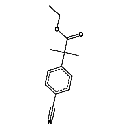 CCOC(=O)C(C)(C)c1ccc(C#N)cc1